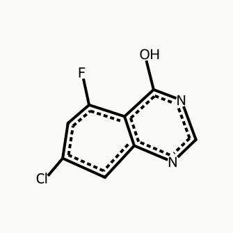 Oc1ncnc2cc(Cl)cc(F)c12